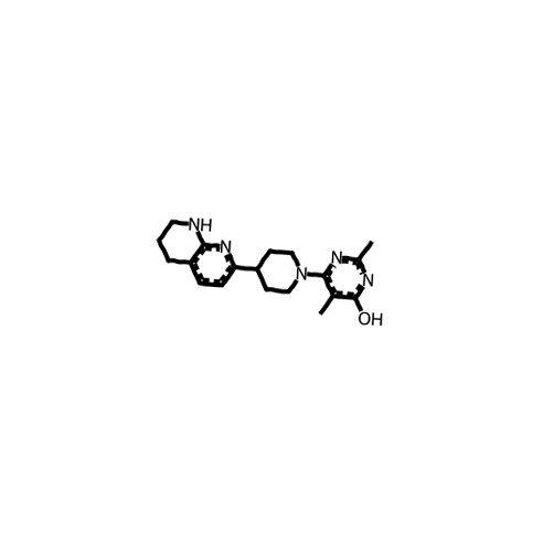 Cc1nc(O)c(C)c(N2CCC(c3ccc4c(n3)NCCC4)CC2)n1